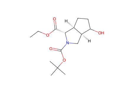 CCOC(=O)[C@@H]1[C@H]2CCC(O)[C@H]2CN1C(=O)OC(C)(C)C